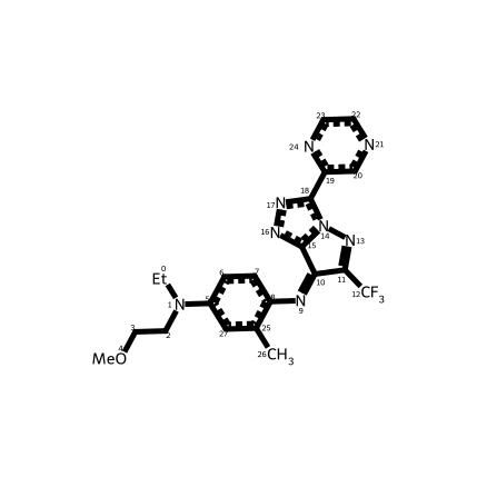 CCN(CCOC)c1ccc(/N=C2/C(C(F)(F)F)=Nn3c2nnc3-c2cnccn2)c(C)c1